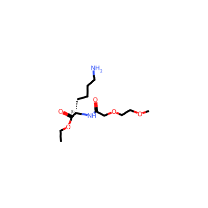 CCOC(=O)[C@H](CCCCN)NC(=O)COCCOC